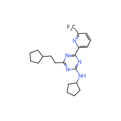 FC(F)(F)c1cccc(-c2nc(CCC3CCCC3)nc(NC3CCCC3)n2)n1